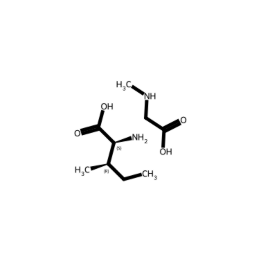 CC[C@@H](C)[C@H](N)C(=O)O.CNCC(=O)O